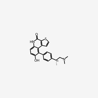 C[C@@H](CN(C)C)c1ccc(-c2c(O)ccc3[nH]c(=O)c4sccc4c23)cc1